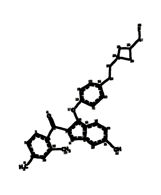 Cc1ccc(C(=O)c2sc3cc(O)ccc3c2Oc2ccc(CCN3CC(CF)C3)cc2)c(C)c1